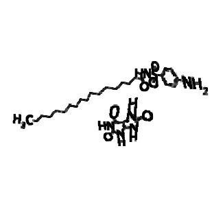 CCCCCCCCCCCCCCCCCC(=O)NS(=O)(=O)c1ccc(N)cc1.O=c1[nH]c(=O)c2[nH]c(=O)[nH]c2[nH]1